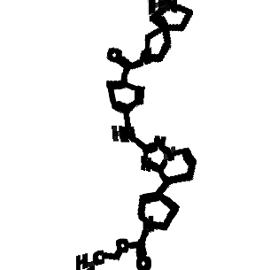 CCOC(=O)N1CC=C(c2cccn3nc(Nc4ccc(C(=O)N5CCC6(CCNC6)C5)cc4)nc23)CC1